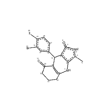 Cn1[nH]c(=O)c2c1NC1=C(C(=O)CCC1)C2c1ccc(F)c(Br)c1